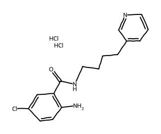 Cl.Cl.Nc1ccc(Cl)cc1C(=O)NCCCCc1cccnc1